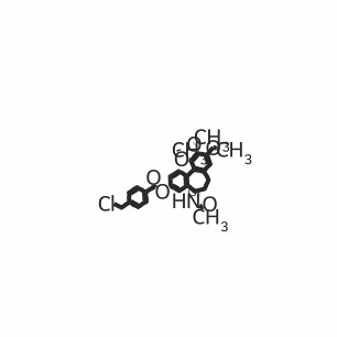 COc1cc2c(c(OC)c1OC)-c1ccc(OC(=O)c3ccc(CCl)cc3)cc1[C@@H](NC(C)=O)CC2